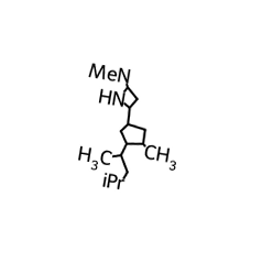 CNC1CC(C2CC(C)C(C(C)CC(C)C)C2)N1